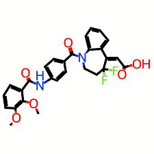 COc1cccc(C(=O)Nc2ccc(C(=O)N3CCC(F)(F)/C(=C\C(=O)O)c4ccccc43)cc2)c1OC